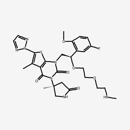 CNCCOCCO[C@@H](Cn1c(=O)n([C@]2(C)CNC(=O)C2)c(=O)c2c(C)c(-n3nccn3)sc21)c1cc(F)ccc1OC